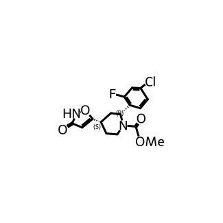 COC(=O)N1CC[C@H](c2cc(=O)[nH]o2)C[C@@H]1c1ccc(Cl)cc1F